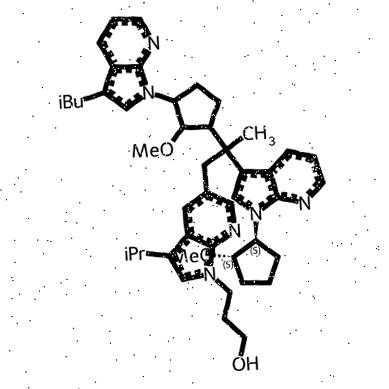 CCC(C)c1cn(C2CCC(C(C)(Cc3cnc4c(c3)c(C(C)C)cn4CCCO)c3cn([C@H]4CCC[C@@H]4OC)c4ncccc34)C2OC)c2ncccc12